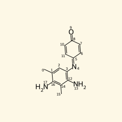 Cc1cc(N=C2C=CC(=O)C=C2)c(N)c(C)c1N